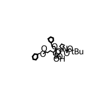 CC(C)(C)OC(=O)N1CCC[C@H]1COP(=O)(O)CC(CCC(=O)OCc1ccccc1)C(=O)OCc1ccccc1